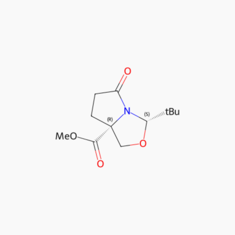 COC(=O)[C@]12CCC(=O)N1[C@H](C(C)(C)C)OC2